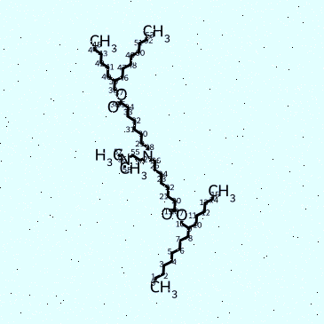 CCCCCCCCCC(CCCCCC)COC(=O)CCCCCCCN(CCCCCCCC(=O)OCC(CCCCCC)CCCCCCCC)CCN(C)C